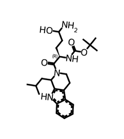 CC(C)CC1c2[nH]c3ccccc3c2CCN1C(=O)[C@@H](CCC(N)O)NC(=O)OC(C)(C)C